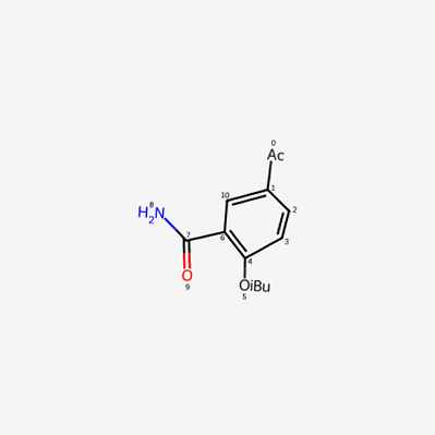 CC(=O)c1ccc(OCC(C)C)c(C(N)=O)c1